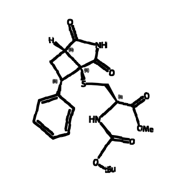 COC(=O)[C@H](CS[C@]12C(=O)NC(=O)[C@H]1C[C@@H]2c1ccccc1)NC(=O)OC(C)(C)C